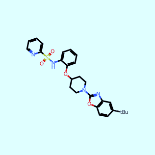 CC(C)(C)c1ccc2oc(N3CCC(Oc4ccccc4NS(=O)(=O)c4ccccn4)CC3)nc2c1